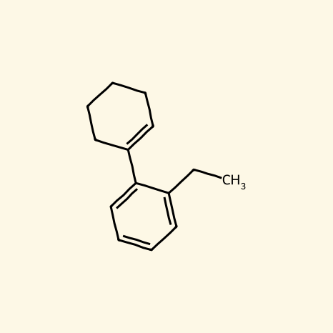 CCc1ccccc1C1=CCCCC1